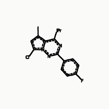 Cc1cc(Cl)n2nc(-c3ccc(F)cc3)nc(C(C)C)c12